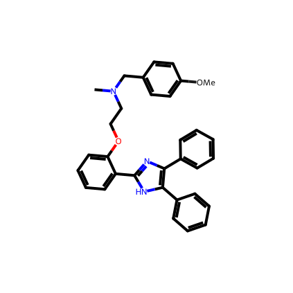 COc1ccc(CN(C)CCOc2ccccc2-c2nc(-c3ccccc3)c(-c3ccccc3)[nH]2)cc1